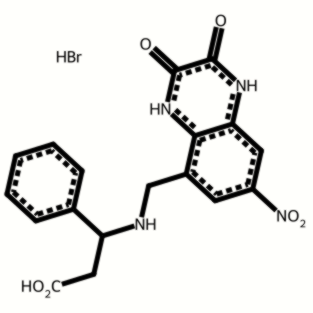 Br.O=C(O)CC(NCc1cc([N+](=O)[O-])cc2[nH]c(=O)c(=O)[nH]c12)c1ccccc1